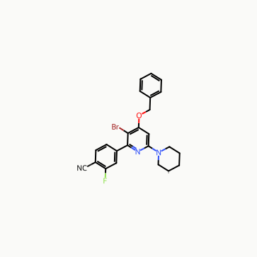 N#Cc1ccc(-c2nc(N3C[CH]CCC3)cc(OCc3ccccc3)c2Br)cc1F